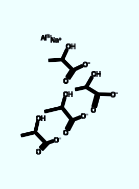 CC(O)C(=O)[O-].CC(O)C(=O)[O-].CC(O)C(=O)[O-].CC(O)C(=O)[O-].[Al+3].[Na+]